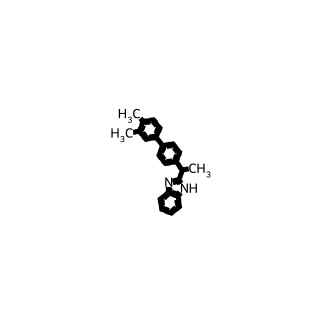 Cc1ccc(-c2ccc(C(C)c3nc4ccccc4[nH]3)cc2)cc1C